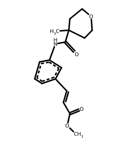 COC(=O)/C=C/c1cccc(NC(=O)C2(C)CCOCC2)c1